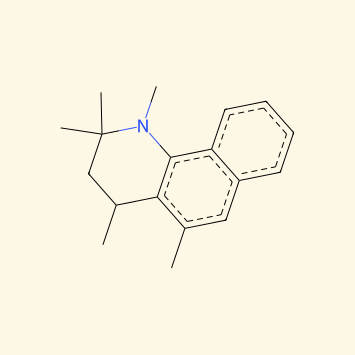 Cc1cc2ccccc2c2c1C(C)CC(C)(C)N2C